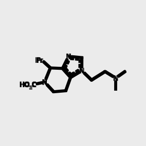 CC(C)C1c2ncn(CCN(C)C)c2CCN1C(=O)O